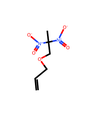 C=CCOCC(C)([N+](=O)[O-])[N+](=O)[O-]